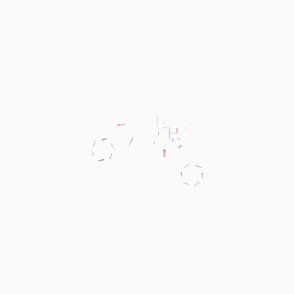 CC1(C(=O)N2C(=O)OCC2c2ccccc2)CCC(c2ccccc2)=C(C(=O)O)C1Cl